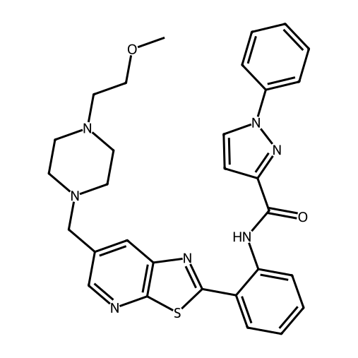 COCCN1CCN(Cc2cnc3sc(-c4ccccc4NC(=O)c4ccn(-c5ccccc5)n4)nc3c2)CC1